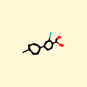 Cc1ccc(-c2ccc(C(=O)O)c(F)c2)cc1